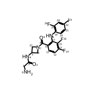 NCC(=O)NC1CN(C(=O)c2ccc(F)c(F)c2Nc2ccc(I)cc2F)C1